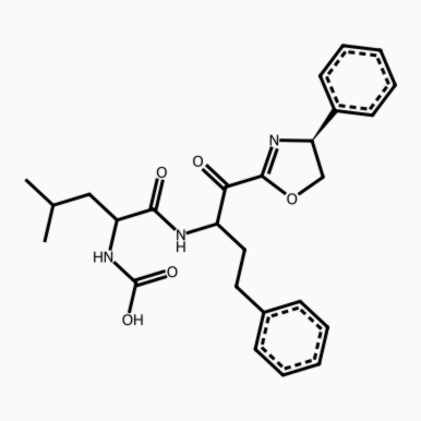 CC(C)CC(NC(=O)O)C(=O)NC(CCc1ccccc1)C(=O)C1=N[C@@H](c2ccccc2)CO1